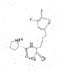 O=C(O)C(CCCc1ccc(F)c(F)c1)NC(=O)[C@@H]1CCCN1